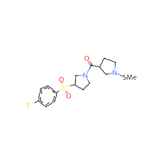 CSN1CCC(C(=O)N2CCC(S(=O)(=O)c3ccc(F)cc3)C2)C1